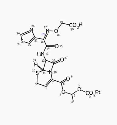 CCOC(=O)OC(C)OC(=O)C1=CCS[C@@H]2C(NC(=O)/C(=N\OCC(=O)O)c3cscn3)C(=O)N12